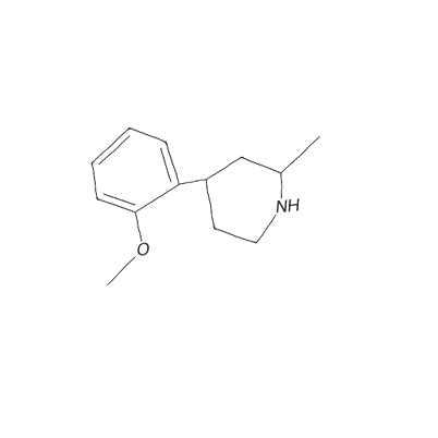 COc1ccccc1C1CCNC(C)C1